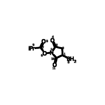 BC1CC(=O)N(OC(=O)C(C)C)C1=O